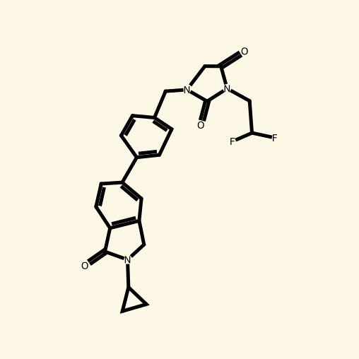 O=C1CN(Cc2ccc(-c3ccc4c(c3)CN(C3CC3)C4=O)cc2)C(=O)N1CC(F)F